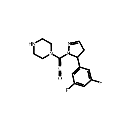 O=C=C(N1CCNCC1)N1N=CCC1c1cc(F)cc(F)c1